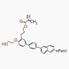 C=C(CC)C(=O)OCCCc1cc(-c2ccc(-c3ccc4cc(CCCCC)ccc4c3)cc2)ccc1OCCO